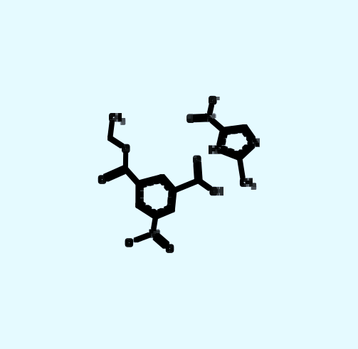 CCOC(=O)c1cc(C(=O)O)cc([N+](=O)[O-])c1.Cc1ncc([N+](=O)[O-])[nH]1